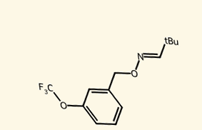 CC(C)(C)C=NOCc1cccc(OC(F)(F)F)c1